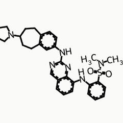 CN(C)S(=O)(=O)c1ccccc1Nc1cccc2cnc(Nc3ccc4c(c3)CCC(N3CCCC3)CC4)nc12